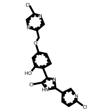 Oc1cc(OCc2cnc(Cl)cn2)ccc1-c1nc(-c2ccc(Cl)nc2)[nH]c1Cl